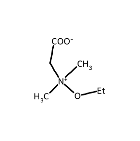 CCO[N+](C)(C)CC(=O)[O-]